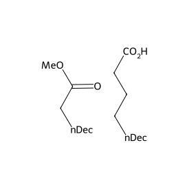 CCCCCCCCCCCC(=O)OC.CCCCCCCCCCCCCC(=O)O